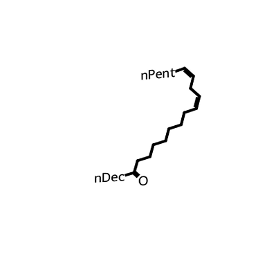 CCCCC/C=C\C/C=C\CCCCCCCC(=O)CCCCCCCCCC